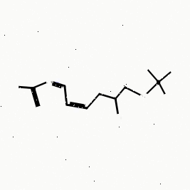 C=C(C)/N=C\C=C/CC(O)CNC(C)(C)C